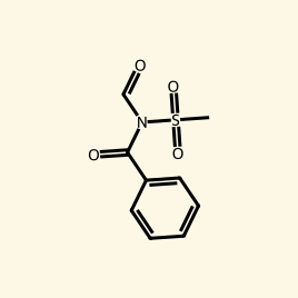 CS(=O)(=O)N(C=O)C(=O)c1ccccc1